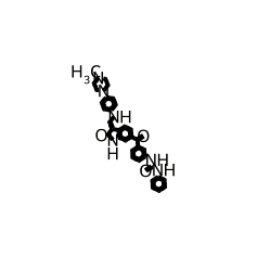 CN1CCN(c2ccc(N/C=C3/C(=O)Nc4cc(C(=O)c5cccc(NC(=O)Nc6ccccc6)c5)ccc43)cc2)CC1